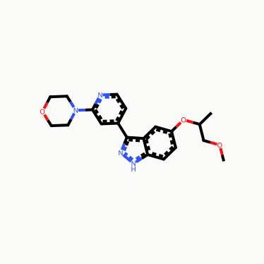 COCC(C)Oc1ccc2[nH]nc(-c3ccnc(N4CCOCC4)c3)c2c1